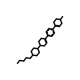 CCCCCC1CCC(C2CC=C(c3ccc(C4=CCC(C)CC4)cc3)CC2)CC1